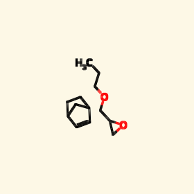 C1=CC2CCC1C2.CCCOCC1CO1